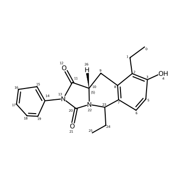 CCc1c(O)ccc2c1C[C@H]1C(=O)N(c3ccccc3)C(=O)N1C2CC